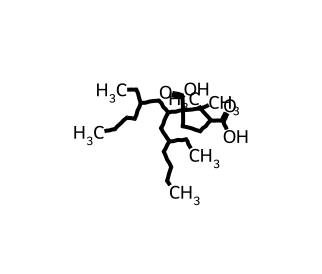 CCCCC(CC)CC(CC(CC)CCCC)C1(C(=O)O)CCC(C(=O)O)C1(C)C